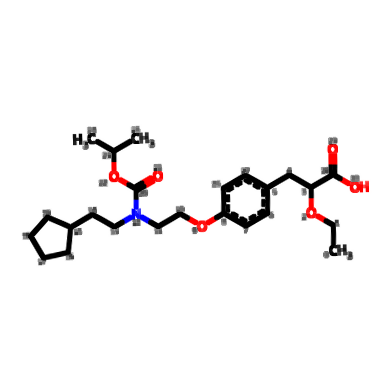 CCOC(Cc1ccc(OCCN(CCC2CCCC2)C(=O)OC(C)C)cc1)C(=O)O